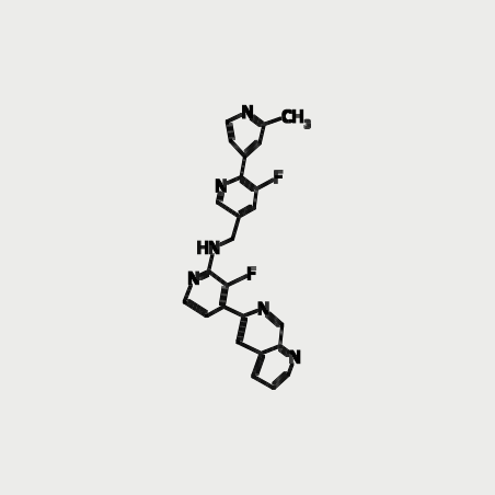 Cc1cc(-c2ncc(CNc3nccc(-c4cc5cccnc5cn4)c3F)cc2F)ccn1